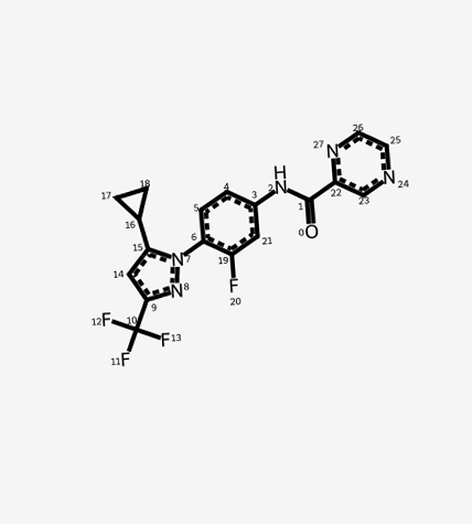 O=C(Nc1ccc(-n2nc(C(F)(F)F)cc2C2CC2)c(F)c1)c1cnccn1